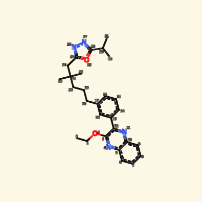 CCOc1nc2ccccc2nc1-c1cccc(CCCC(C)(C)Cc2nnc(C(C)C)o2)c1